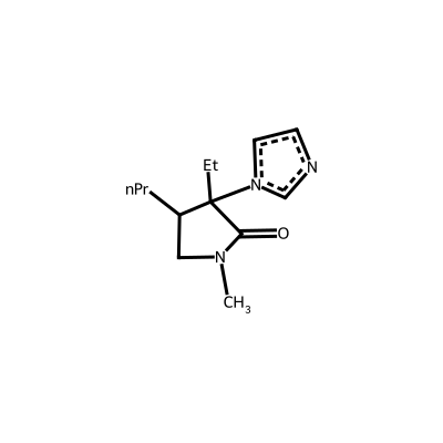 CCCC1CN(C)C(=O)C1(CC)n1ccnc1